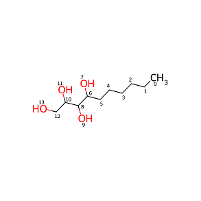 CCCCCCC(O)C(O)C(O)CO